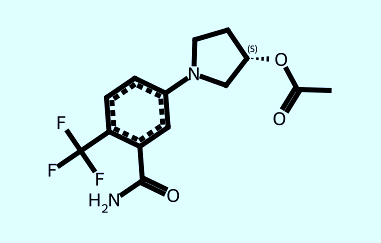 CC(=O)O[C@H]1CCN(c2ccc(C(F)(F)F)c(C(N)=O)c2)C1